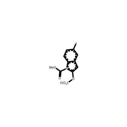 CCOC(=O)Oc1cc2cc(I)ccc2n1C(=O)OC